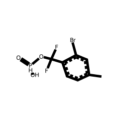 Cc1ccc(C(F)(F)O[PH](=O)O)c(Br)c1